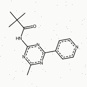 Cc1nc(NC(=O)C(C)(C)C)nc(-c2ccncc2)n1